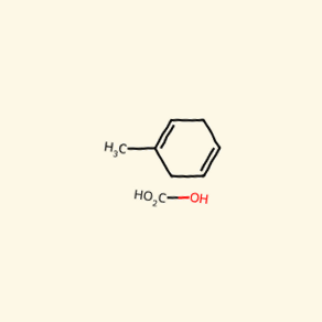 CC1=CCC=CC1.O=C(O)O